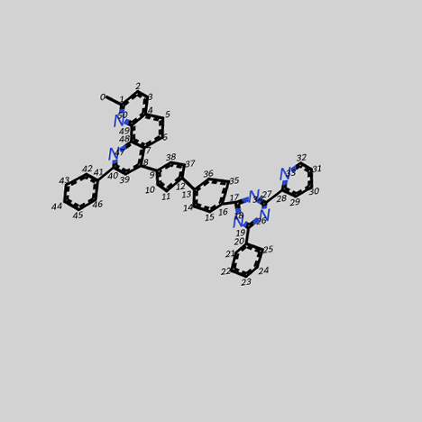 Cc1ccc2ccc3c(-c4ccc(-c5ccc(-c6nc(-c7ccccc7)nc(-c7ccccn7)n6)cc5)cc4)cc(-c4ccccc4)nc3c2n1